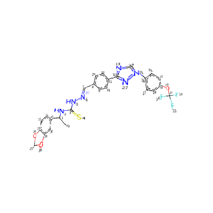 CC(NC(=S)N/N=C/c1ccc(-c2ncn(-c3ccc(OC(F)(F)F)cc3)n2)cc1)c1ccc2c(c1)OCO2